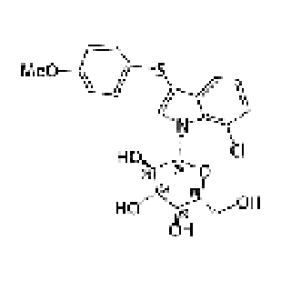 COc1ccc(Sc2cn([C@@H]3O[C@H](CO)[C@@H](O)[C@H](O)[C@H]3O)c3c(Cl)cccc23)cc1